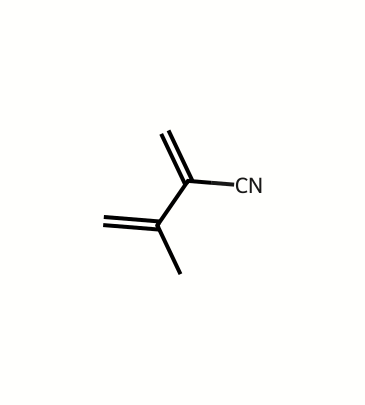 C=C(C)C(=C)C#N